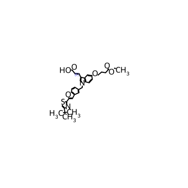 CCOC(=O)CCCOc1ccc2c(c1)c(/C=C/C(=O)O)cn2Cc1ccc2oc(-c3nc(C(C)(C)C)cs3)cc2c1